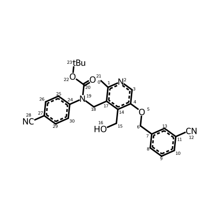 Cc1ncc(OCc2cccc(C#N)c2)c(CO)c1CN(C(=O)OC(C)(C)C)c1ccc(C#N)cc1